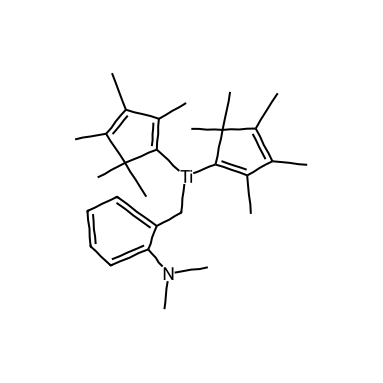 CC1=C(C)C(C)(C)[C]([Ti]([CH2]c2ccccc2N(C)C)[C]2=C(C)C(C)=C(C)C2(C)C)=C1C